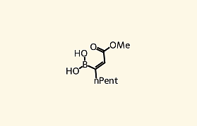 CCCCC/C(=C/C(=O)OC)B(O)O